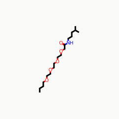 CCCCOCCOCCOCCOCC(=O)NCCCC(C)C